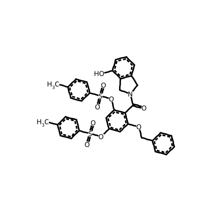 Cc1ccc(S(=O)(=O)Oc2cc(OCc3ccccc3)c(C(=O)N3Cc4cccc(O)c4C3)c(OS(=O)(=O)c3ccc(C)cc3)c2)cc1